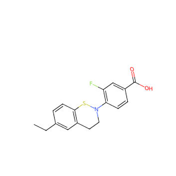 CCc1ccc2c(c1)CCN(c1ccc(C(=O)O)cc1F)S2